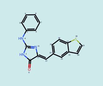 O=C1NC(Nc2ccccc2)=N/C1=C\c1ccc2sccc2c1